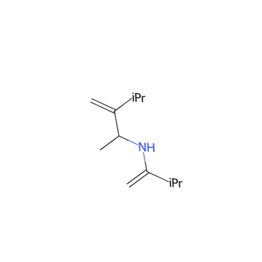 C=C(NC(C)C(=C)C(C)C)C(C)C